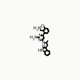 CC(Cc1c[nH]c2ccccc12)Nc1cc(-c2cccc(Cl)c2CN)nc(N)n1